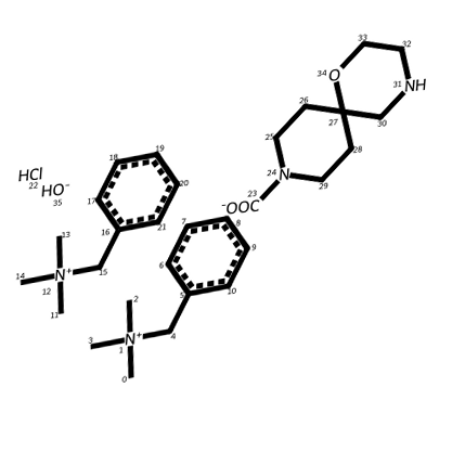 C[N+](C)(C)Cc1ccccc1.C[N+](C)(C)Cc1ccccc1.Cl.O=C([O-])N1CCC2(CC1)CNCCO2.[OH-]